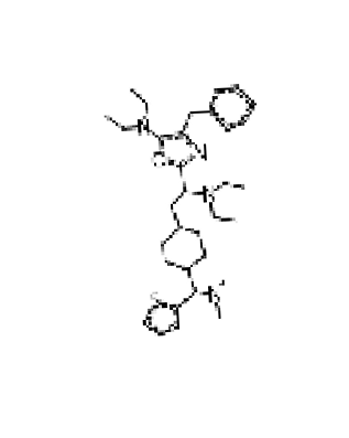 CCN(CC)c1oc(C(CC2CCC(C(c3cccs3)N(C)C)CC2)N(CC)CC)nc1Cc1ccccc1